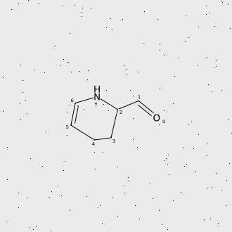 O=CC1CCC=CN1